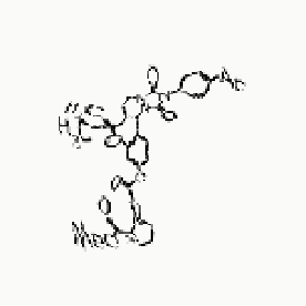 COC(=O)[C@@H]1CCCN1C(=O)Oc1ccc2c(c1)OC(C)(C)C1=CCn3c(=O)n(-c4ccc(C(C)=O)cc4)c(=O)n3C12